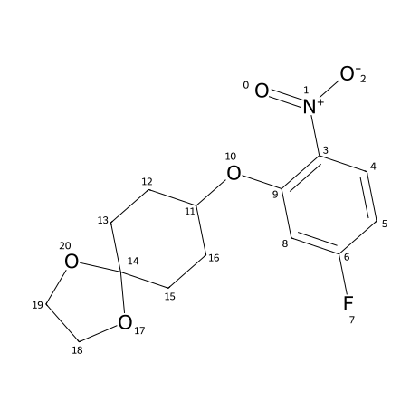 O=[N+]([O-])c1ccc(F)cc1OC1CCC2(CC1)OCCO2